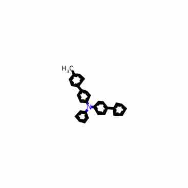 Cc1ccc(-c2ccc(N(c3ccccc3)c3ccc(-c4ccccc4)cc3)cc2)cc1